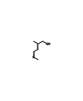 C/N=C\C=C(/C)CO